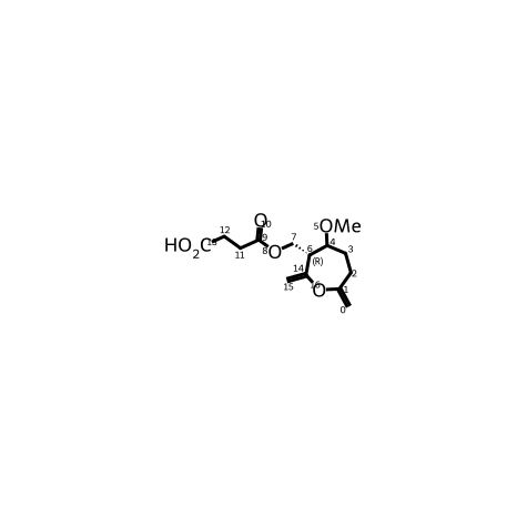 C=C1CCC(OC)[C@@H](COC(=O)CCC(=O)O)C(=C)O1